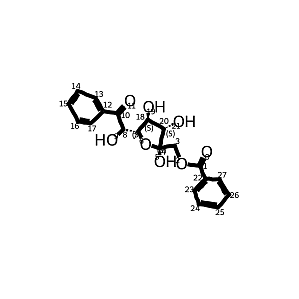 O=C(OC[C@]1(O)O[C@H](C(O)C(=O)c2ccccc2)[C@@H](O)[C@@H]1O)c1ccccc1